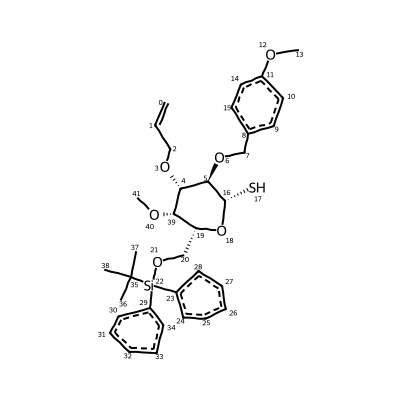 C=CCO[C@@H]1[C@@H](OCc2ccc(OC)cc2)[C@H](S)O[C@H](CO[Si](c2ccccc2)(c2ccccc2)C(C)(C)C)[C@@H]1OC